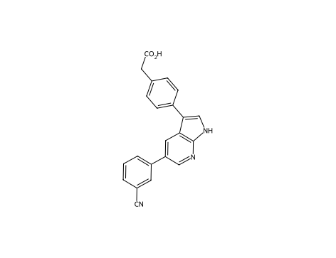 N#Cc1cccc(-c2cnc3[nH]cc(-c4ccc(CC(=O)O)cc4)c3c2)c1